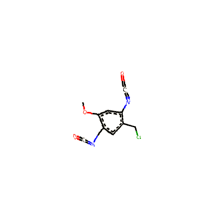 COc1cc(N=C=O)c(CCl)cc1N=C=O